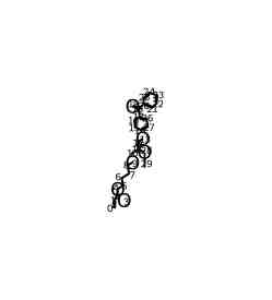 C=CC(=O)OCCCCOCC(COc1ccc(C(=O)c2ccccc2)cc1)OI